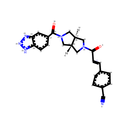 N#Cc1ccc(/C=C/C(=O)N2C[C@@H]3CN(C(=O)c4ccc5[nH]nnc5c4)C[C@H]3C2)cc1